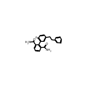 NC(=O)c1cccc(C(N)=O)c1-c1cc(CCc2ccccc2)ccc1F